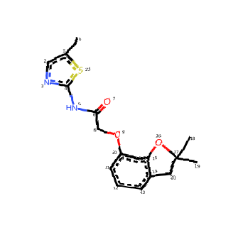 Cc1cnc(NC(=O)COc2cccc3c2OC(C)(C)C3)s1